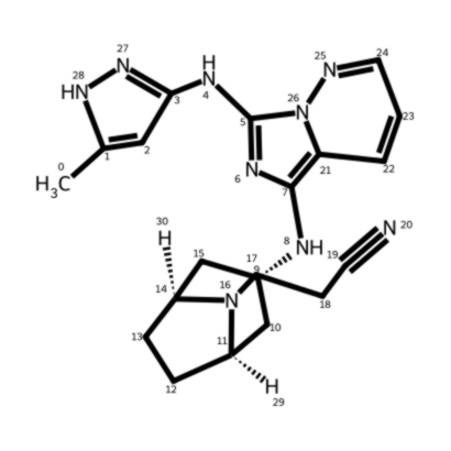 Cc1cc(Nc2nc(N[C@@H]3C[C@H]4CC[C@@H](C3)N4CCC#N)c3cccnn23)n[nH]1